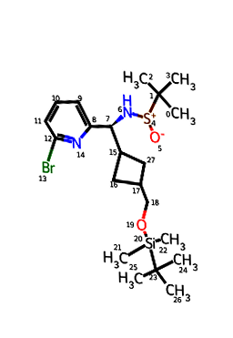 CC(C)(C)[S+]([O-])N[C@H](c1cccc(Br)n1)C1CC(CO[Si](C)(C)C(C)(C)C)C1